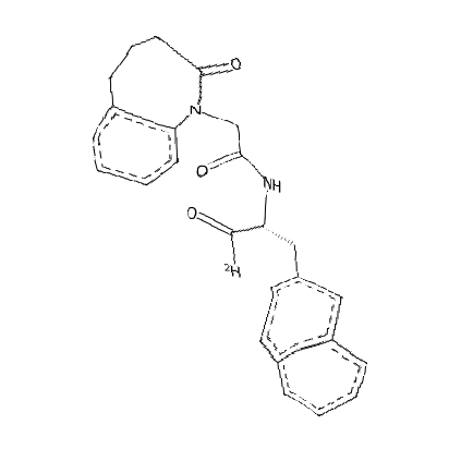 [2H]C(=O)[C@@H](Cc1ccc2ccccc2c1)NC(=O)CN1C(=O)CCCc2ccccc21